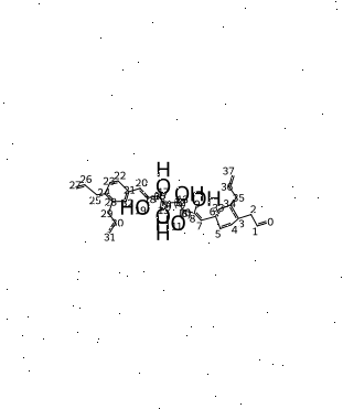 C=CCc1ccc(C=C(O)[C@@H](O)[C@@H](O)[C@H](O)[C@@H](O)C(O)=Cc2ccc(CC=C)c(CC=C)c2)cc1CC=C